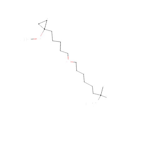 CC(C)(CCCCCCOCCCCCC1(OC=O)CC1)C(=O)O